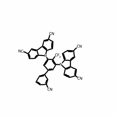 N#Cc1cccc(-c2cc(-n3c4ccc(C#N)cc4c4cc(C#N)ccc43)c(C(F)(F)F)c(-n3c4ccc(C#N)cc4c4cc(C#N)ccc43)c2)c1